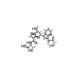 CNc1cc(-c2cn([C@H]3CCOC[C@H]3F)c3ncccc23)nc2c(C(=O)NC3COC[C@@H]3O)cnn12